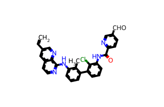 C=Cc1cnc2c(Nc3cccc(-c4cccc(NC(=O)c5ccc(C=O)cn5)c4Cl)c3C)nccc2c1